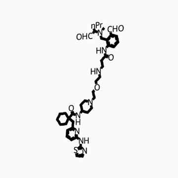 CCCC(C=O)N(C)Cc1c(C=O)cccc1NC(=O)CCNCCOCCN1CCC(NC(=O)C2(Cc3cccc(Nc4nccs4)n3)CCCCC2)CC1